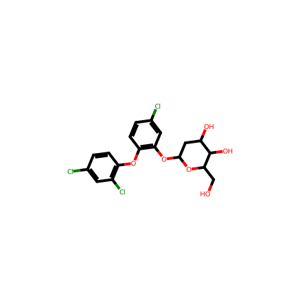 OCC1OC(Oc2cc(Cl)ccc2Oc2ccc(Cl)cc2Cl)CC(O)C1O